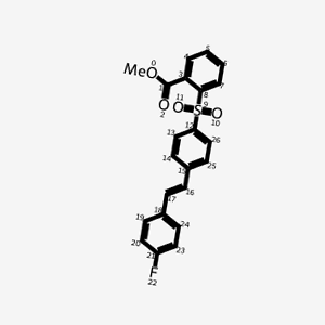 COC(=O)c1ccccc1S(=O)(=O)c1ccc(C=Cc2ccc(F)cc2)cc1